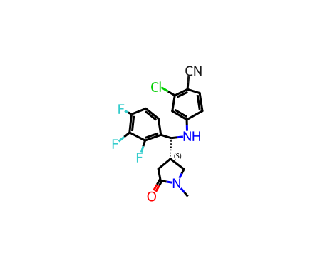 CN1C[C@@H](C(Nc2ccc(C#N)c(Cl)c2)c2ccc(F)c(F)c2F)CC1=O